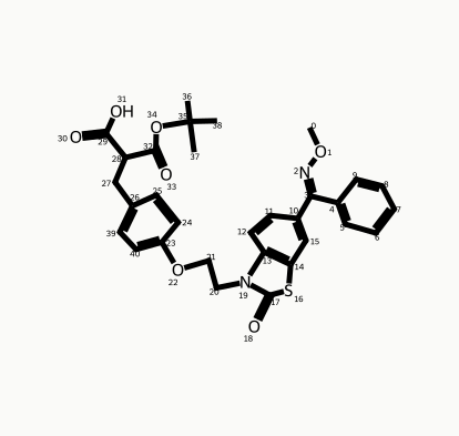 CON=C(c1ccccc1)c1ccc2c(c1)sc(=O)n2CCOc1ccc(CC(C(=O)O)C(=O)OC(C)(C)C)cc1